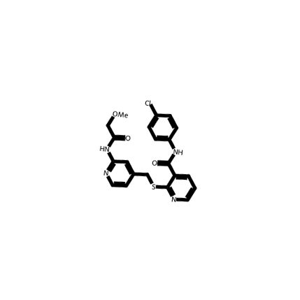 COCC(=O)Nc1cc(CSc2ncccc2C(=O)Nc2ccc(Cl)cc2)ccn1